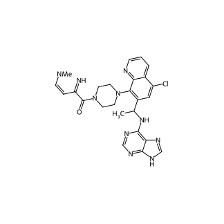 CN/C=C\C(=N)C(=O)N1CCN(c2c(C(C)Nc3ncnc4[nH]cnc34)cc(Cl)c3cccnc23)CC1